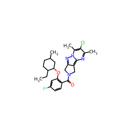 CCC1CCC(C)C[C@H]1Oc1cc(F)ccc1C(=O)N1Cc2nn3c(C)c(Cl)c(C)nc3c2C1